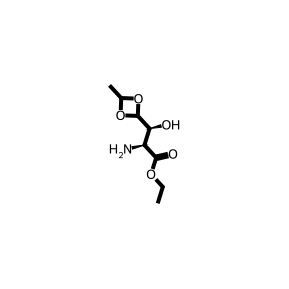 CCOC(=O)[C@@H](N)[C@H](O)C1OC(C)O1